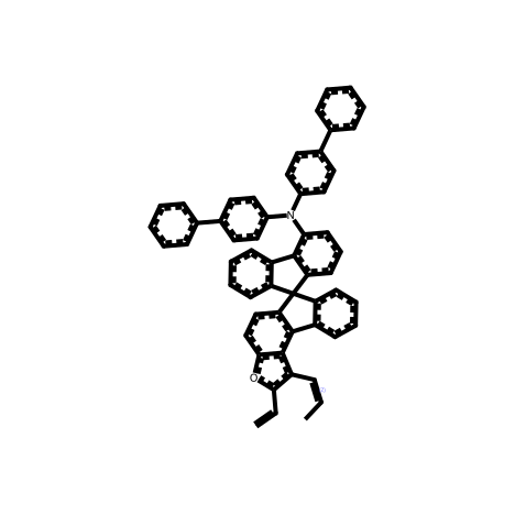 C=Cc1oc2ccc3c(c2c1/C=C\C)-c1ccccc1C31c2ccccc2-c2c(N(c3ccc(-c4ccccc4)cc3)c3ccc(-c4ccccc4)cc3)cccc21